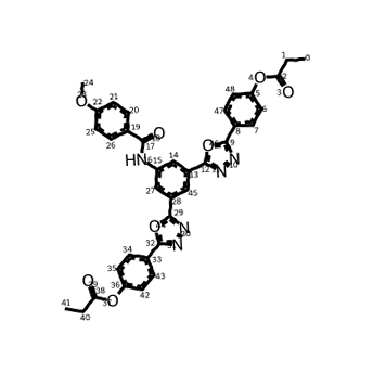 CCC(=O)Oc1ccc(-c2nnc(-c3cc(NC(=O)c4ccc(OC)cc4)cc(-c4nnc(-c5ccc(OC(=O)CC)cc5)o4)c3)o2)cc1